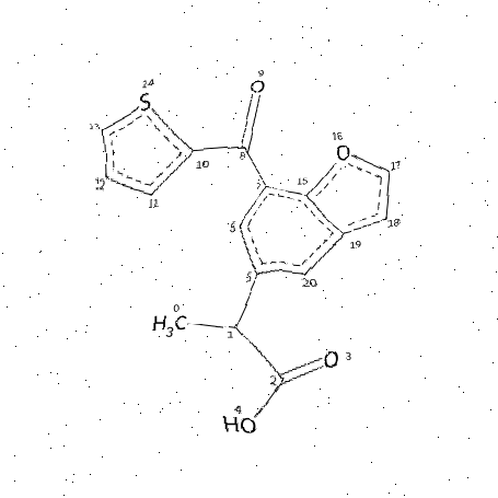 CC(C(=O)O)c1cc(C(=O)c2cccs2)c2occc2c1